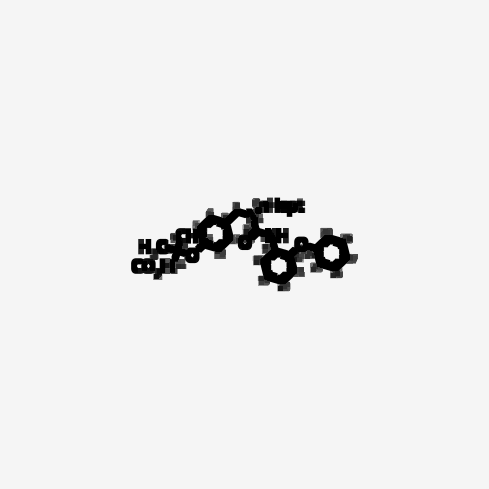 CCCCCCCN(Cc1ccc(OC(C)(C)C(=O)OCC)cc1)C(=O)Nc1ccccc1Oc1ccccc1